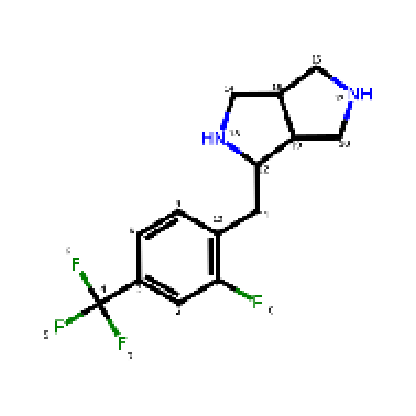 Fc1cc(C(F)(F)F)ccc1CC1NCC2CNCC21